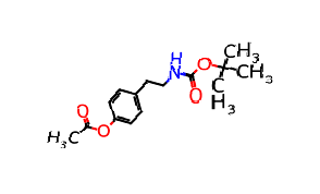 CC(=O)Oc1ccc(CCNC(=O)OC(C)(C)C)cc1